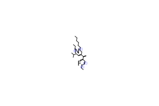 C=C(/C=C\C(F)=C/C)C(=C)C(=CC(/N=C/CC)C(C)C)C/C=C/CCCCC